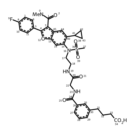 CNC(=O)c1c(-c2ccc(F)cc2)oc2cc(N(CCNC(=O)CNC(=O)c3cccc(CCCC(=O)O)c3)S(C)(=O)=O)c(C3CC3)cc12